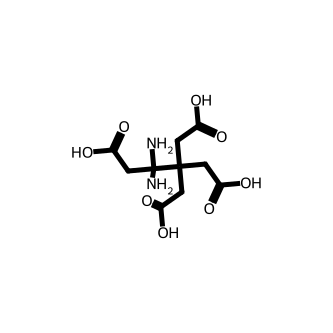 NC(N)(CC(=O)O)C(CC(=O)O)(CC(=O)O)CC(=O)O